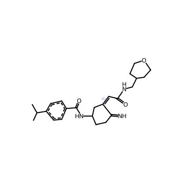 CC(C)c1ccc(C(=O)NC2CCC(=N)/C(=C\C(=O)NCC3CCOCC3)C2)cc1